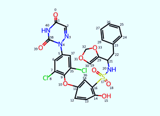 O=c1cnn(-c2cc(Cl)c(Oc3ccc(O)c(S(=O)(=O)NC(Cc4ccccc4)C4=COCO4)c3)c(Cl)c2)c(=O)[nH]1